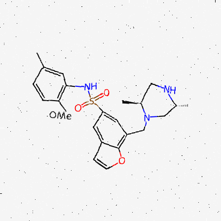 COc1ccc(C)cc1NS(=O)(=O)c1cc(CN2C[C@@H](C)NC[C@@H]2C)c2occc2c1